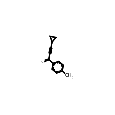 Cc1ccc(C(=O)C#CC2CC2)cc1